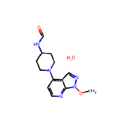 COn1ncc2c(N3CCC(NC=O)CC3)ccnc21.O